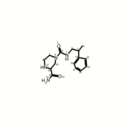 CC(CNC(=O)N1CCNC(C(N)=O)C1)c1ccccc1